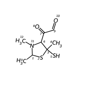 CC1SC(C)(S)C(C(=O)C=O)N1C